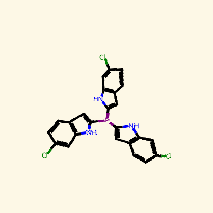 Clc1ccc2cc(P(c3cc4ccc(Cl)cc4[nH]3)c3cc4ccc(Cl)cc4[nH]3)[nH]c2c1